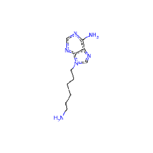 NCCCCCCn1cnc2c(N)ncnc21